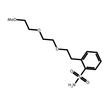 COCCOCCOCCc1ccccc1S(N)(=O)=O